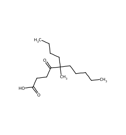 CCCCCC(C)(CCCC)C(=O)CCC(=O)O